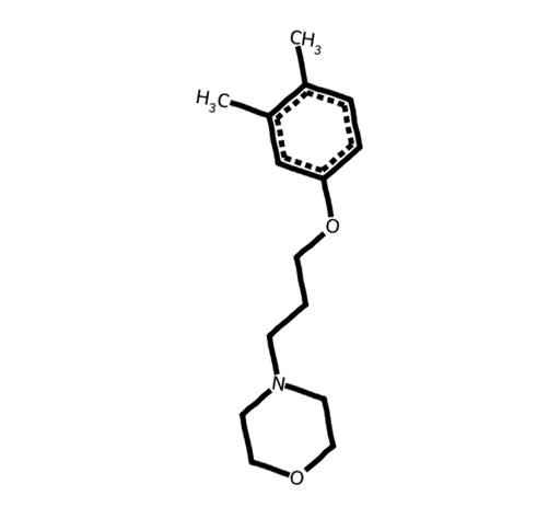 Cc1ccc(OCCCN2CCOCC2)cc1C